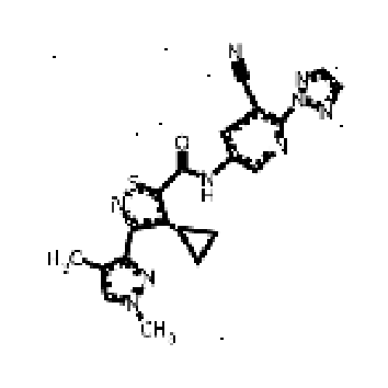 Cc1cn(C)nc1-c1nsc(C(=O)Nc2cnc(-n3nccn3)c(C#N)c2)c1C1CC1